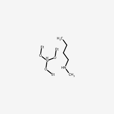 CCCCNC.CCO[SiH](OCC)OCC